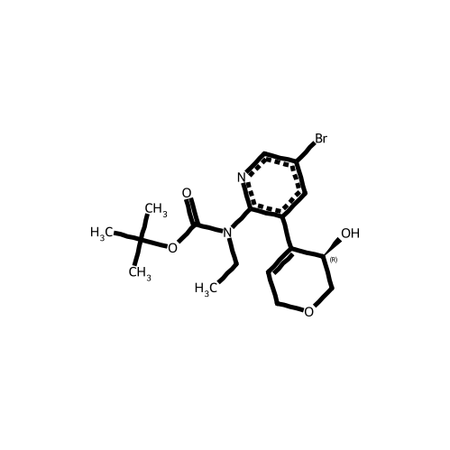 CCN(C(=O)OC(C)(C)C)c1ncc(Br)cc1C1=CCOC[C@@H]1O